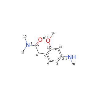 CNc1ccc(CC(=O)N(C)C)c(OC)c1